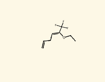 C=CCC=C(OCC)C(F)(F)F